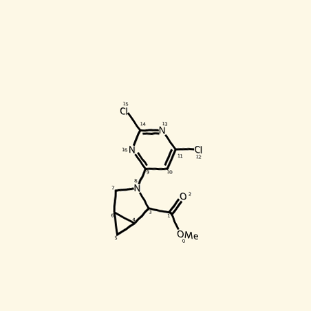 COC(=O)C1C2CC2CN1c1cc(Cl)nc(Cl)n1